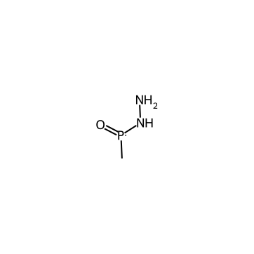 C[P](=O)NN